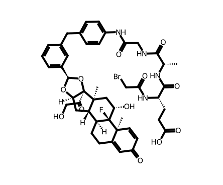 C[C@H](NC(=O)[C@H](CCC(=O)O)NC(=O)CBr)C(=O)NCC(=O)Nc1ccc(Cc2cccc([C@@H]3O[C@@H]4C[C@H]5[C@@H]6CCC7=CC(=O)C=C[C@]7(C)[C@@]6(F)[C@@H](O)C[C@]5(C)[C@]4(C(=O)CO)O3)c2)cc1